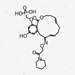 O=C1OCC/C=C/CC/C=C/C(=NOCC(=O)N2CCCCC2)Cc2cc(O)cc(OCP(=O)(O)O)c21